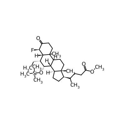 CC[C@H]1[C@@H](O[Si](C)(C)C)[C@@H]2[C@H](CC[C@]3(C)[C@@H](C(C)CCC(=O)OC)CC[C@@H]23)[C@@]2(C)CCC(=O)[C@H](F)[C@@H]12